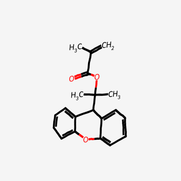 C=C(C)C(=O)OC(C)(C)C1c2ccccc2Oc2ccccc21